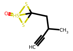 C#CC(C)CC12S[SH]1(=O)S2